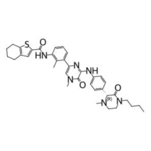 CCCCN1CCN(C)[C@H](c2ccc(Nc3nc(-c4cccc(NC(=O)c5cc6c(s5)CCCC6)c4C)cn(C)c3=O)cc2)C1=O